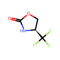 O=C1N[C@H](C(F)(F)F)CO1